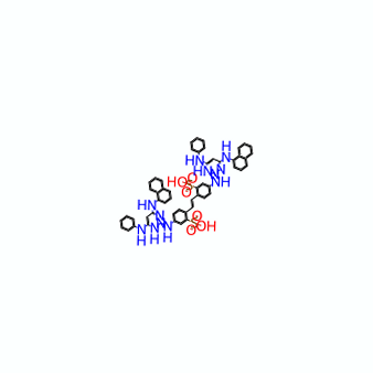 O=S(=O)(O)c1cc(NN2N=C(Nc3cccc4ccccc34)C=C(Nc3ccccc3)N2)ccc1C=Cc1ccc(NN2N=C(Nc3cccc4ccccc34)C=C(Nc3ccccc3)N2)cc1S(=O)(=O)O